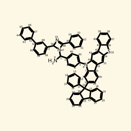 NC(c1ccc(-n2c3cc(C4(c5ccccc5)c5ccccc5-c5ccccc54)ccc3c3cc4sc5ccccc5c4cc32)cc1)N1C(c2ccccc2)=NC1c1cccc(-c2ccccc2)c1